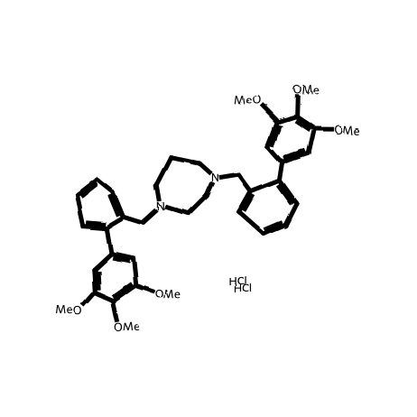 COc1cc(-c2ccccc2CN2CCCN(Cc3ccccc3-c3cc(OC)c(OC)c(OC)c3)CC2)cc(OC)c1OC.Cl.Cl